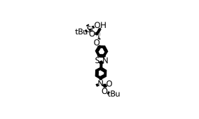 CN(C(=O)OC(C)(C)C)c1ccc(-c2nc3ccc(OC[C@@H](CO)O[Si](C)(C)C(C)(C)C)cc3s2)cc1